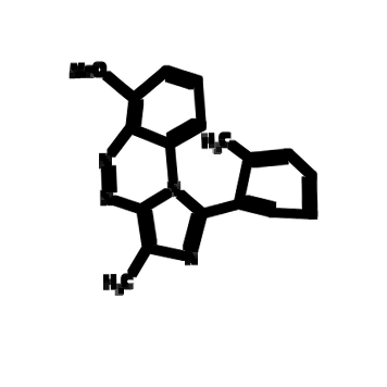 COc1cccc2c1nnc1c(C)nc(-c3ccccc3C)n12